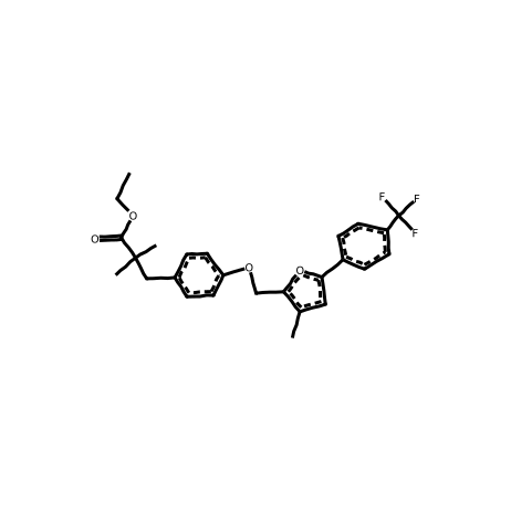 CCOC(=O)C(C)(C)Cc1ccc(OCc2oc(-c3ccc(C(F)(F)F)cc3)cc2C)cc1